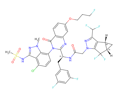 Cn1nc(NS(C)(=O)=O)c2c(Cl)ccc(-n3c([C@H](Cc4cc(F)cc(F)c4)NC(=O)Cn4nc(C(F)F)c5c4C(F)(F)[C@H]4C[C@@H]54)nc4cc(OCCCF)ccc4c3=O)c21